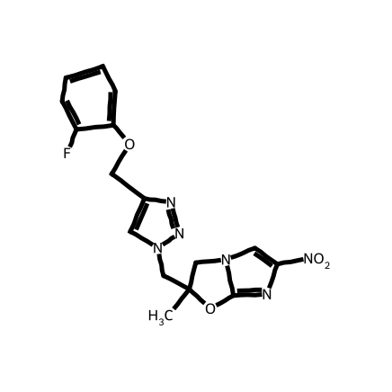 CC1(Cn2cc(COc3ccccc3F)nn2)Cn2cc([N+](=O)[O-])nc2O1